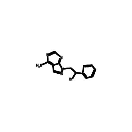 Nc1ncnc2c1cnn2CC(Br)c1ccccc1